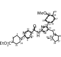 CCOC(=O)C1CCN(c2cnc(C(=O)Nc3nc(-c4ccc(C)c(OC)c4)c(CN4CCC[C@H]4C)s3)cn2)CC1